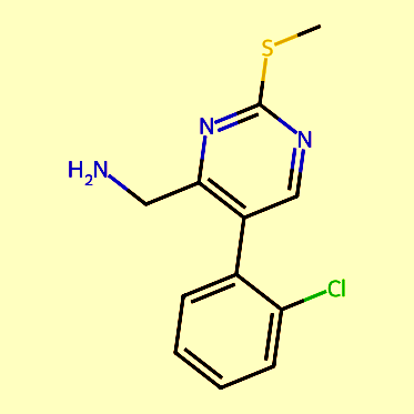 CSc1ncc(-c2ccccc2Cl)c(CN)n1